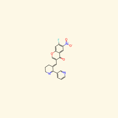 O=c1c(/C=C2\CCCN=C2c2cccnc2)coc2cc(F)c([N+](=O)[O-])cc12